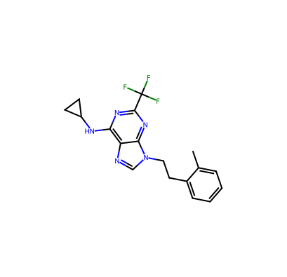 Cc1ccccc1CCn1cnc2c(NC3CC3)nc(C(F)(F)F)nc21